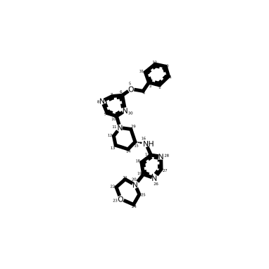 c1ccc(COc2cncc(N3CCC[C@@H](Nc4cc(N5CCOCC5)ncn4)C3)n2)cc1